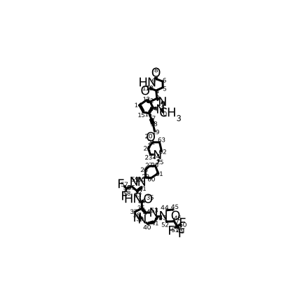 Cn1nc(C2CCC(=O)NC2=O)c2cccc(C#CCOC3CCN(C[C@H]4CC[C@H](n5cc(NC(=O)c6cnn7ccc(N8CCOC(C(F)(F)F)C8)nc67)c(C(F)F)n5)CC4)CC3)c21